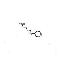 CNCCCCNC1CC[N]CC1